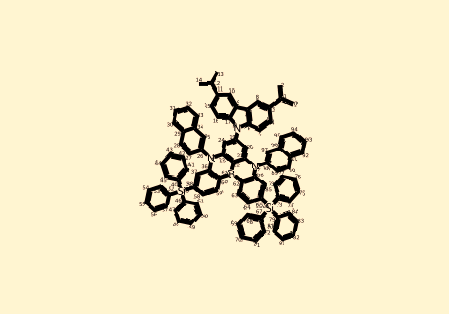 CC(C)c1ccc2c(c1)c1cc(C(C)C)ccc1n2-c1cc2c3c(c1)N(c1ccc4ccccc4c1)c1cc([Si](c4ccccc4)(c4ccccc4)c4ccccc4)ccc1B3c1ccc([Si](c3ccccc3)(c3ccccc3)c3ccccc3)cc1N2c1ccc2ccccc2c1